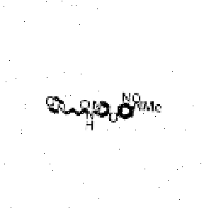 CNc1ccc(Oc2ccnc(NC(=O)CCCN3CCOCC3)c2)cc1[N+](=O)[O-]